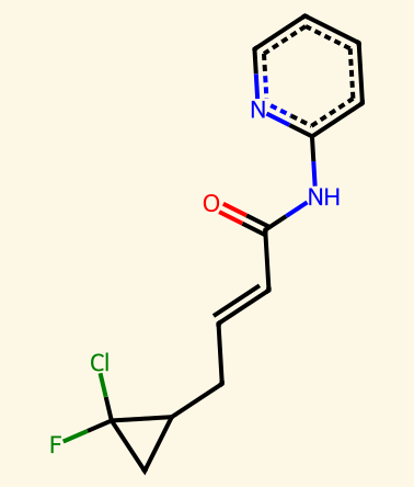 O=C(C=CCC1CC1(F)Cl)Nc1ccccn1